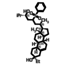 CC[C@]1(O)CC[C@H]2C(=CC[C@@H]3[C@@H]2CC[C@]2(C)[C@@H]([C@H](C)CC(C[C@@H](O)C(C)C)S(=O)(=O)c4ccccc4)CC[C@@H]32)C1